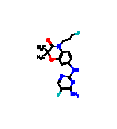 CC1(C)Oc2cc(Nc3ncc(F)c(N)n3)ccc2N(CCCF)C1=O